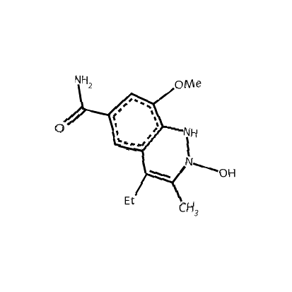 CCC1=C(C)N(O)Nc2c(OC)cc(C(N)=O)cc21